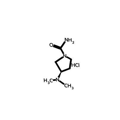 CN(C)[C@@H]1CCN(C(N)=O)C1.Cl